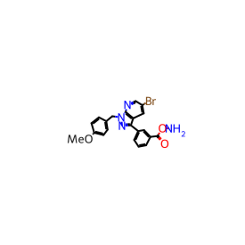 COc1ccc(Cn2nc(-c3cccc(C(=O)ON)c3)c3cc(Br)cnc32)cc1